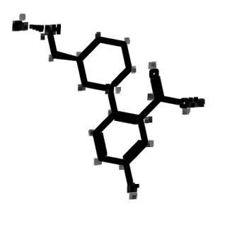 CC[C@@H](C)NC[C@H]1CCCN(c2ccc(Br)cc2C(=O)OC)C1